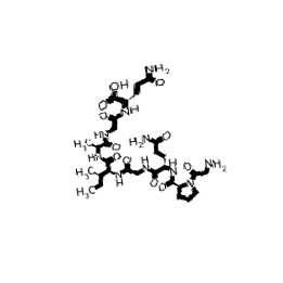 CC[C@H](C)[C@H](NC(=O)CNC(=O)[C@H](CCC(N)=O)NC(=O)[C@@H]1CCCN1C(=O)CN)C(=O)N[C@@H](C)C(=O)NCC(=O)N[C@@H](CCC(N)=O)C(=O)O